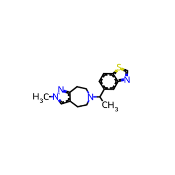 CC(c1ccc2scnc2c1)N1CCc2cn(C)nc2CC1